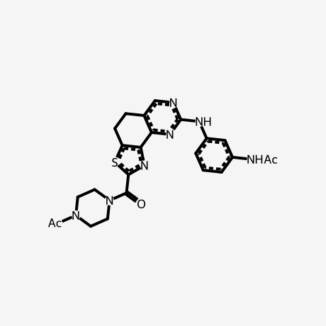 CC(=O)Nc1cccc(Nc2ncc3c(n2)-c2nc(C(=O)N4CCN(C(C)=O)CC4)sc2CC3)c1